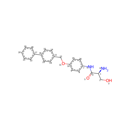 N[C@@H](CO)C(=O)Nc1ccc(OCc2ccc(-c3ccccc3)cc2)cc1